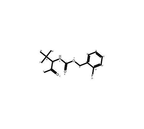 CC(=O)C(NC(=O)OCc1ccccc1F)C(C)(C)C